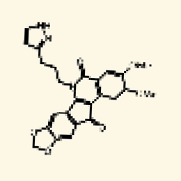 COC1=Cc2c(c3c(n(CCCc4cc[nH]n4)c2=O)-c2cc4c(cc2C3=O)OCO4)CC1OC